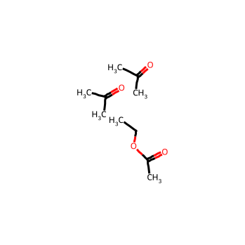 CC(C)=O.CC(C)=O.CCOC(C)=O